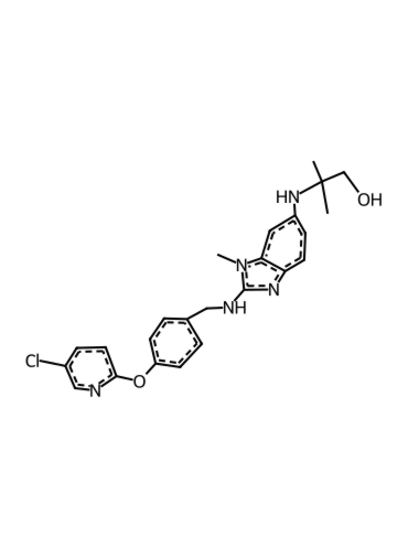 Cn1c(NCc2ccc(Oc3ccc(Cl)cn3)cc2)nc2ccc(NC(C)(C)CO)cc21